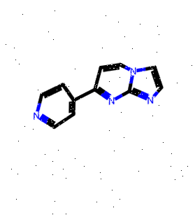 c1cc(-c2ccn3ccnc3n2)ccn1